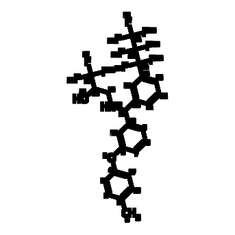 Cc1ccc(Oc2cccc(C(NCC(O)C(F)(F)F)c3cccc(C(F)(F)C(F)(F)C(F)(F)F)c3)c2)cc1